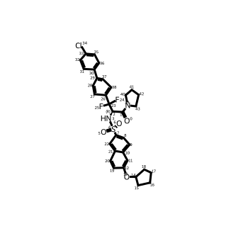 O=C([C@@H](NS(=O)(=O)c1ccc2cc(OC3CCCC3)ccc2c1)C(F)(F)c1ccc(-c2ccc(Cl)cc2)cc1)N1CCCC1